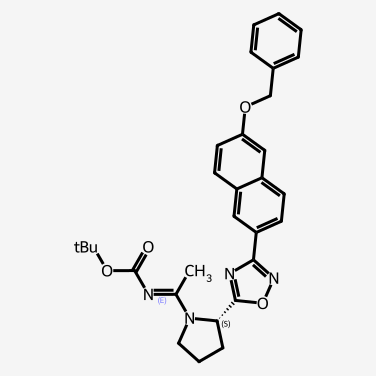 C/C(=N\C(=O)OC(C)(C)C)N1CCC[C@H]1c1nc(-c2ccc3cc(OCc4ccccc4)ccc3c2)no1